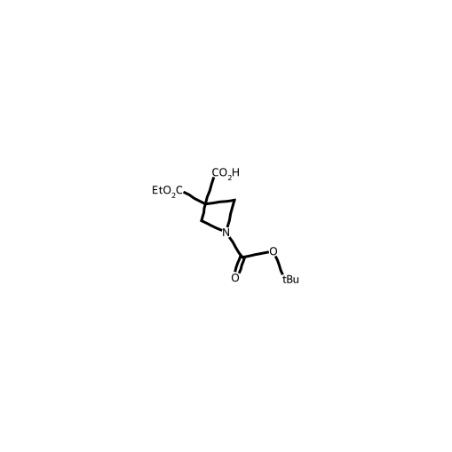 CCOC(=O)C1(C(=O)O)CN(C(=O)OC(C)(C)C)C1